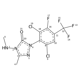 CNn1c(C)nn(-c2c(Cl)cc(C(F)(F)F)c(F)c2Cl)c1=O